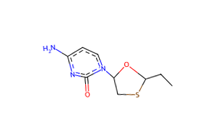 CCC1OC(n2ccc(N)nc2=O)CS1